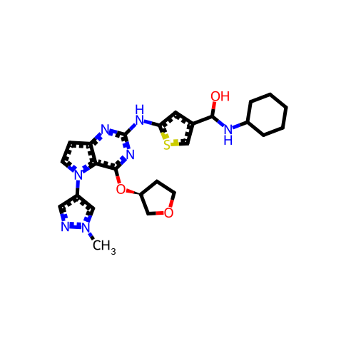 Cn1cc(-n2ccc3nc(Nc4cc(C(O)NC5CCCCC5)cs4)nc(O[C@H]4CCOC4)c32)cn1